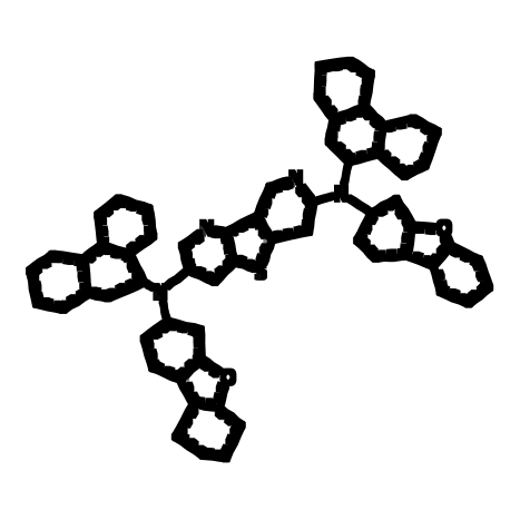 c1ccc2c(c1)cc(N(c1ccc3c(c1)oc1ccccc13)c1cnc3c(c1)sc1cc(N(c4ccc5c(c4)oc4ccccc45)c4cc5ccccc5c5ccccc45)ncc13)c1ccccc12